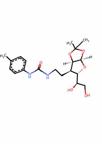 Cc1ccc(NC(=O)NCC[C@H]2[C@H]3OC(C)(C)O[C@H]3O[C@@H]2[C@H](O)CO)cc1